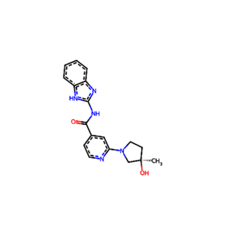 C[C@@]1(O)CCN(c2cc(C(=O)Nc3nc4ccccc4[nH]3)ccn2)C1